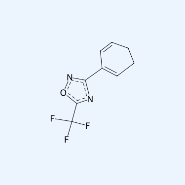 FC(F)(F)c1nc(C2=CCCC=C2)no1